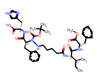 CC[C@H](C)[C@H](NC(=O)CCCCNN(C(=O)OC(C)(C)C)[C@@H](Cc1ccccc1)C(=O)N[C@@H](Cc1c[nH]cn1)C(=O)O)C(=O)N[C@@H](Cc1ccccc1)C(=O)OC